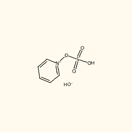 O=S(=O)(O)O[n+]1ccccc1.[OH-]